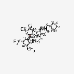 NCC(=O)C1(c2ccc(Cl)c(Cl)c2)C(C(=O)c2cc(C(F)(F)F)cc(C(F)(F)F)c2)NCCN1C1CCN(Cc2ccccc2)CC1